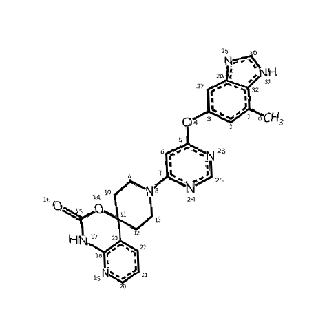 Cc1cc(Oc2cc(N3CCC4(CC3)OC(=O)Nc3ncccc34)ncn2)cc2nc[nH]c12